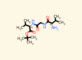 CC(C)[C@H](N)C(=O)NCC(=O)N[C@H](C(=O)OC(C)(C)C)C(C)C